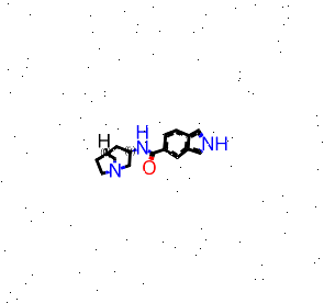 O=C(N[C@@H]1C[C@H]2CCN(C2)C1)c1ccc2c[nH]cc2c1